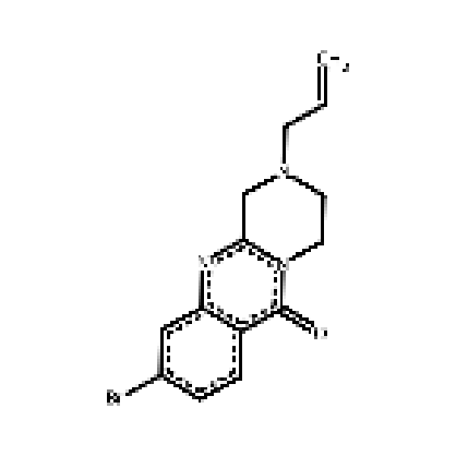 C=CCN1CCn2c(nc3cc(Br)ccc3c2=O)C1